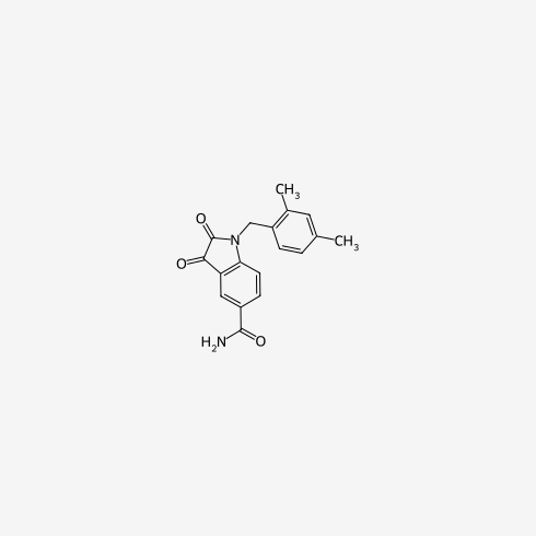 Cc1ccc(CN2C(=O)C(=O)c3cc(C(N)=O)ccc32)c(C)c1